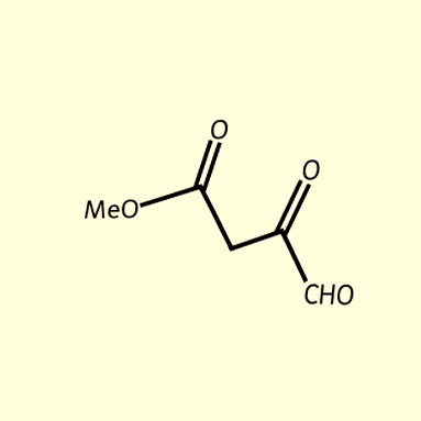 COC(=O)CC(=O)C=O